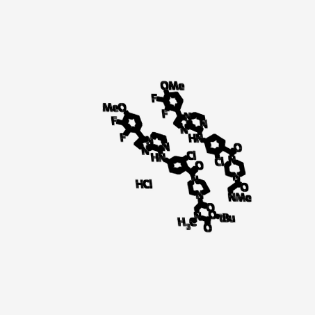 CNCC(=O)N1CCN(C(=O)c2ccc(Nc3nccn4c(-c5ccc(OC)c(F)c5F)cnc34)cc2Cl)CC1.COc1ccc(-c2cnc3c(Nc4ccc(C(=O)N5CCN(C(=O)CN(C)C(=O)OC(C)(C)C)CC5)c(Cl)c4)nccn23)c(F)c1F.Cl